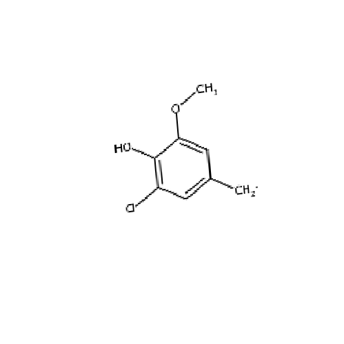 [CH2]c1cc(Cl)c(O)c(OC)c1